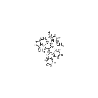 Cc1ccc(C)n1-c1cc(/C(=C/c2ccccn2)c2ccccc2)cc(-n2c(C)ccc2C)n1